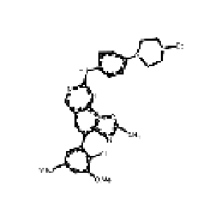 CCN1CCN(c2ccc(Nc3ncc4cc(-c5cc(OC)cc(OC)c5Cl)c5nc(C)nn5c4n3)cc2)CC1